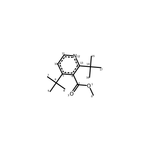 COC(=O)c1c(C(C)(C)C)ccnc1C(C)(C)C